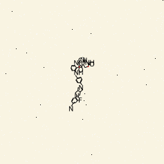 Cc1nc2cccc(NCc3ccc(CN4CC5CN(c6ccc(C#N)cc6F)CC5C4)cc3)c2c(=O)n1C1CCC(=O)NC1=O